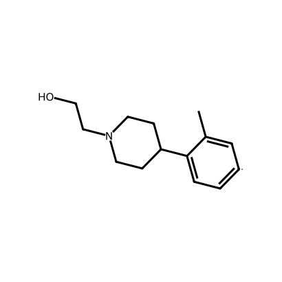 Cc1c[c]ccc1C1CCN(CCO)CC1